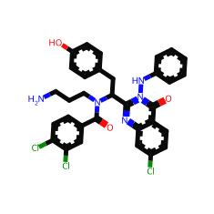 NCCCN(C(=O)c1ccc(Cl)c(Cl)c1)C(Cc1ccc(O)cc1)c1nc2cc(Cl)ccc2c(=O)n1Nc1ccccc1